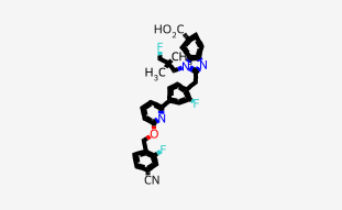 CC(C)(CF)Cn1c(Cc2ccc(-c3cccc(OCc4ccc(C#N)cc4F)n3)cc2F)nc2ccc(C(=O)O)cc21